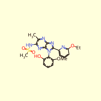 CCOC1=NC(c2nc3nc(C)c(NS(C)(=O)=O)nc3n2-c2c(O)cccc2OC)=C=C=C1